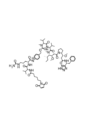 CC[C@H](C)[C@@H]([C@@H](CC(=O)N1CCCC1[C@H](OC)[C@@H](C)C(=O)N[C@@H](Cc1ccccc1)c1nn[nH]n1)OC)N(C)C(=O)[C@@H](NC(=O)C(C(C)C)N(C)C(=O)OCc1ccc(NC(=O)[C@H](CCCNC(N)=O)NC(=O)C(NC(=O)CCCCCN2C(=O)C=CC2=O)C(C)C)cc1)C(C)C